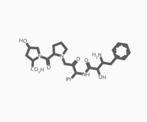 CC(C)C(NC(=O)C(O)C(N)Cc1ccccc1)C(=O)CN1CCCC1C(=O)N1CC(O)CC1C(=O)O